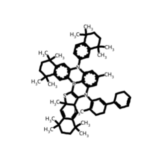 CC1=C(N2C3=C(SC4(C)C=C5C(=CC34)C(C)(C)CCC5(C)C)B3c4cc5c(cc4N(c4ccc6c(c4)C(C)(C)CCC6(C)C)c4cc(C)cc2c43)C(C)(C)CCC5(C)C)C=C(C2=CC=CCC2)CC1